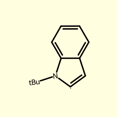 CC(C)(C)n1[c]cc2ccccc21